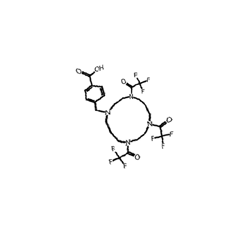 O=C(O)c1ccc(CN2CCCN(C(=O)C(F)(F)F)CCN(C(=O)C(F)(F)F)CCCN(C(=O)C(F)(F)F)CC2)cc1